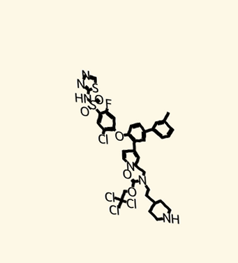 Cc1cccc(-c2ccc(Oc3cc(F)c(S(=O)(=O)Nc4nncs4)cc3Cl)c(-c3ccnc(CN(CCC4CCNCC4)C(=O)OCC(Cl)(Cl)Cl)c3)c2)c1